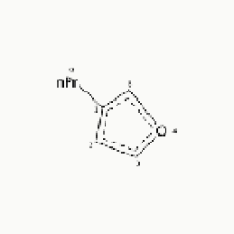 C[C]Cc1ccoc1